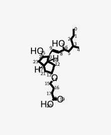 CCCC(C)CC(O)C=C[C@H]1[C@@H]2CC(OCCCC(=O)O)C[C@H]2C[C@@H]1O